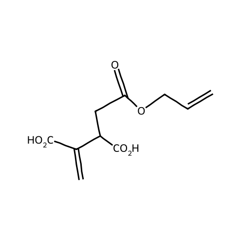 C=CCOC(=O)CC(C(=C)C(=O)O)C(=O)O